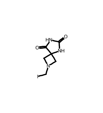 O=C1NC(=O)C2(CN(CI)C2)N1